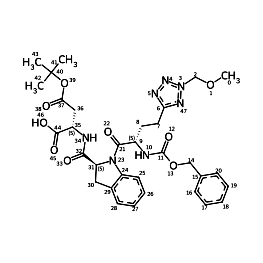 COCn1nnc(CC[C@H](NC(=O)OCc2ccccc2)C(=O)N2c3ccccc3C[C@H]2C(=O)N[C@@H](CC(=O)OC(C)(C)C)C(=O)O)n1